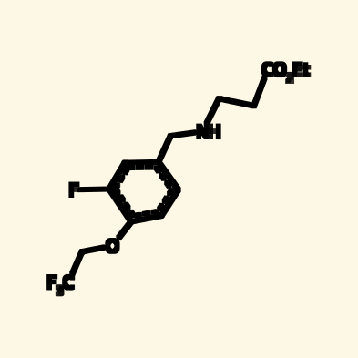 CCOC(=O)CCNCc1ccc(OCC(F)(F)F)c(F)c1